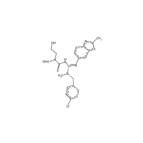 Cc1nc2ccc(/N=C(\NC(=O)N(C=O)CCO)N(C)Cc3ccc(Cl)cc3)cc2s1